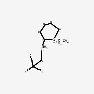 C.C.CCC(F)(F)F.[SiH3]C1CCCCO1